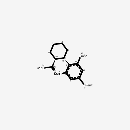 CCCCCc1cc(OC)c([C@H]2CCCC[C@@H]2C(=O)OC)c(OC)c1